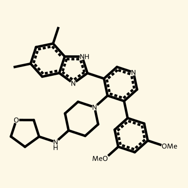 COc1cc(OC)cc(-c2cncc(-c3nc4cc(C)cc(C)c4[nH]3)c2N2CCC(NC3CCOC3)CC2)c1